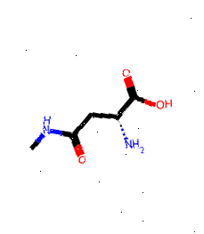 CNC(=O)C[C@@H](N)C(=O)O